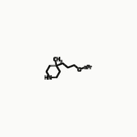 CCCOCCCC1(C)CCNCC1